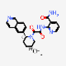 C[C@@H]1CC[C@@H](c2ccc3cnccc3c2)N(C(=O)C(=O)Nc2ncccc2C(N)=O)C1